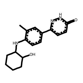 Cc1cc(-c2ccc(=O)[nH]n2)ccc1NC1CCCCC1O